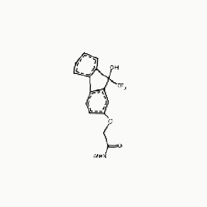 CNC(=O)COc1ccc2c(c1)C(O)(C(F)(F)F)c1ccccc1-2